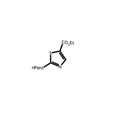 CCCCCc1ncc(C(=O)OCC)s1